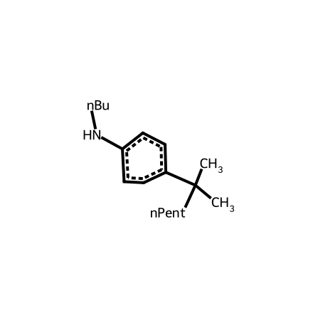 CCCCCC(C)(C)c1ccc(NCCCC)cc1